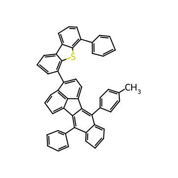 Cc1ccc(-c2c3c(c(-c4ccccc4)c4ccccc24)-c2cccc4c(-c5cccc6c5sc5c(-c7ccccc7)cccc56)ccc-3c24)cc1